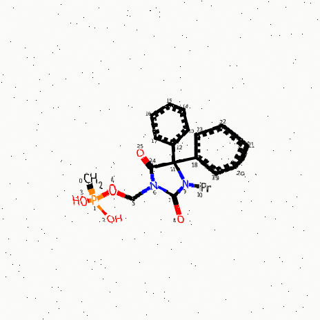 C=P(O)(O)OCN1C(=O)N(C(C)C)C(c2ccccc2)(c2ccccc2)C1=O